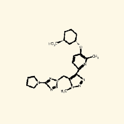 Cc1nc(-c2nnn(C)c2Cn2nnc(N3CCCC3)n2)ccc1O[C@H]1CCC[C@H](C(=O)O)C1